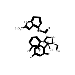 CCOC(=O)c1cc2c(NC(=O)[C@@H]3N[C@@H](CC(C)(C)C)[C@](C#N)(c4ccc(Cl)cc4F)[C@H]3c3cccc(Cl)c3F)cccc2[nH]1